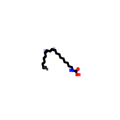 CCCCC/C=C\C/C=C\CCCCCCCCNC(=O)O